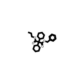 CCCOC(=O)C(C(=O)OCc1ccccc1)(C1CCCCC1)C1CCCCC1